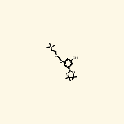 CC1(C)OB(c2cc(O)cc(OCOCC[Si](C)(C)C)c2)OC1(C)C